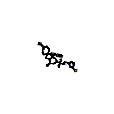 COCC12CN(S(=O)(=O)/C=C/c3ccc(Cl)s3)CC(=O)N1CC1(CCN(C(C)=O)CC1)N2